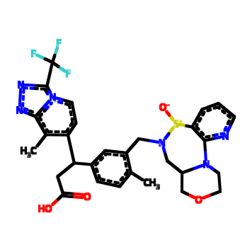 Cc1ccc(C(CC(=O)O)c2ccn3c(C(F)(F)F)nnc3c2C)cc1CN1CC2COCCN2c2ncccc2[S+]1[O-]